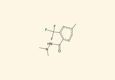 Cc1ccc(C(=O)NN(C)C)c(C(F)(F)F)c1